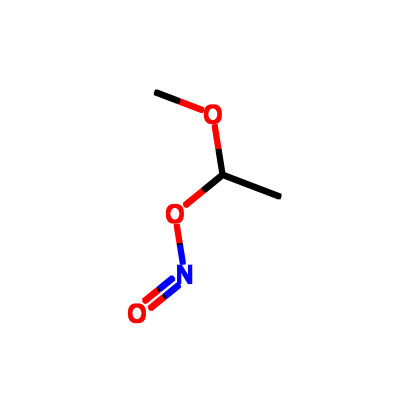 COC(C)ON=O